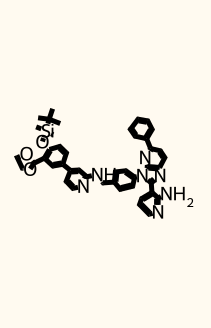 CC(C)(C)[Si](C)(C)Oc1ccc(-c2ccnc(NCc3ccc(-n4c(-c5cccnc5N)nc5ccc(-c6ccccc6)nc54)cc3)c2)cc1C1OCCO1